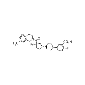 CC(C)[C@]1(C(=O)N2CCc3ncc(C(F)(F)F)cc3C2)CC[C@@H](N2CCC(c3ccc(F)c(C(=O)O)c3)CC2)C1